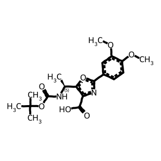 COc1ccc(-c2nc(C(=O)O)c([C@H](C)NC(=O)OC(C)(C)C)o2)cc1OC